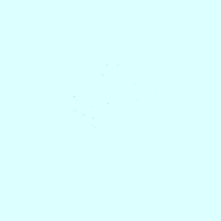 COc1ccc(F)c(-n2nnc(COc3cc(CC(C(=O)O)C4CC4)ccn3)c2C2=CCCC2(C)C)c1